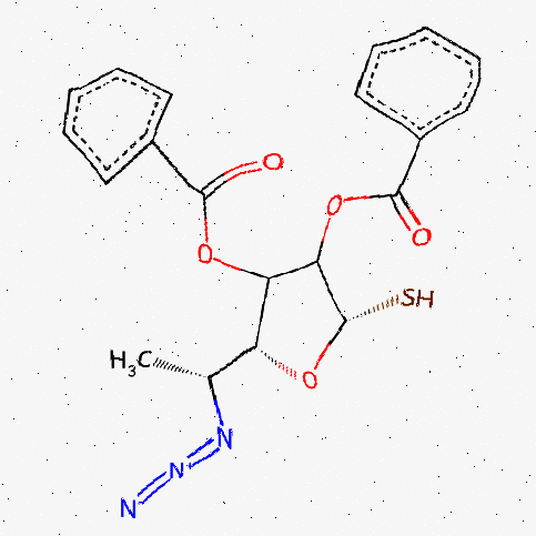 C[C@@H](N=[N+]=[N-])[C@H]1O[C@@H](S)C(OC(=O)c2ccccc2)C1OC(=O)c1ccccc1